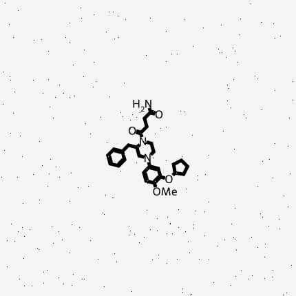 COc1ccc(N2CCN(C(=O)CCC(N)=O)C(Cc3ccccc3)C2)cc1OC1CCCC1